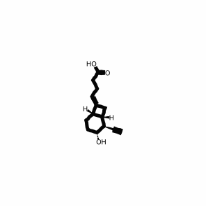 C#C[C@@H]1[C@H]2CC(=CCCC(=O)O)[C@H]2CC[C@H]1O